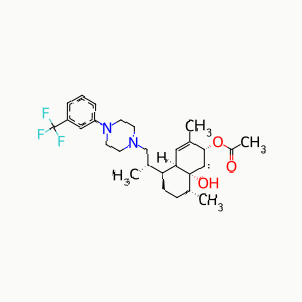 CC(=O)O[C@@H]1[C][C@@]2(O)[C@H](C)CC[C@@H]([C@H](C)CN3CCN(c4cccc(C(F)(F)F)c4)CC3)[C@H]2C=C1C